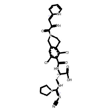 N#C/N=C(/NC[C@H](NC(=O)c1c(Cl)cc2c(c1Cl)CCN(C(=O)C(=N)/C=C1/C=CC=CN1)C2)C(=O)O)N1CCCC1